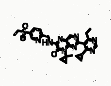 CCc1ncnc(C2CC2)c1-c1ncc2nc(NCc3ccc(S(=O)(=O)CC)cn3)c(=O)n(C3(C)CC3)c2n1